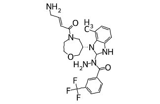 Cc1cccc2c1N([C@@H]1COCCN(C(=O)/C=C/CN)C1)C(N(N)C(=O)c1cccc(C(F)(F)F)c1)N2